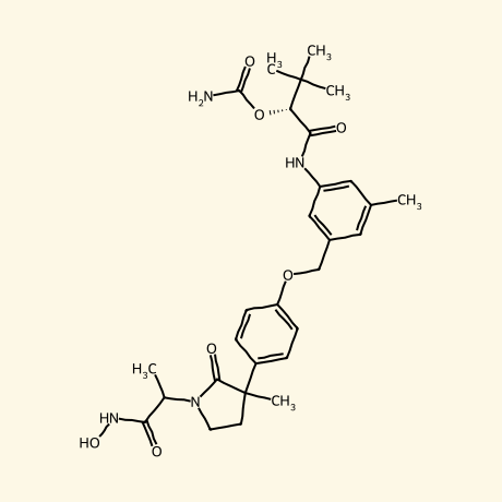 Cc1cc(COc2ccc(C3(C)CCN(C(C)C(=O)NO)C3=O)cc2)cc(NC(=O)[C@H](OC(N)=O)C(C)(C)C)c1